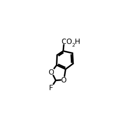 O=C(O)c1ccc2c(c1)OC(F)O2